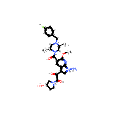 COc1nc2c(cc1C(=O)N1C[C@H](C)N(Cc3ccc(F)cc3)C[C@H]1C)c(C(=O)C(=O)N1CC[C@H](O)C1)cn2N